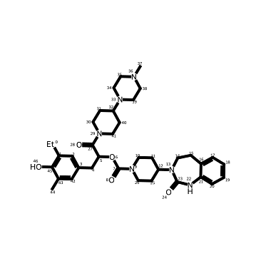 CCc1cc(CC(OC(=O)N2CCC(N3CCc4ccccc4NC3=O)CC2)C(=O)N2CCC(N3CCN(C)CC3)CC2)cc(C)c1O